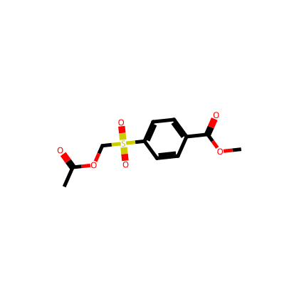 COC(=O)c1ccc(S(=O)(=O)COC(C)=O)cc1